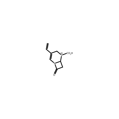 C=CC1=CN2C(=O)CC2[SH](C(=O)O)C1